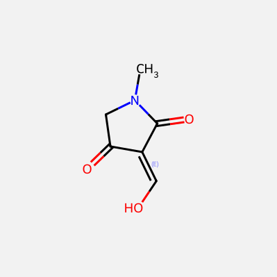 CN1CC(=O)/C(=C\O)C1=O